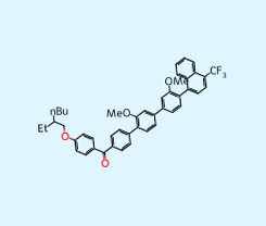 CCCCC(CC)COc1ccc(C(=O)c2ccc(-c3ccc(-c4ccc(-c5ccc(C(F)(F)F)c6ccccc56)c(OC)c4)cc3OC)cc2)cc1